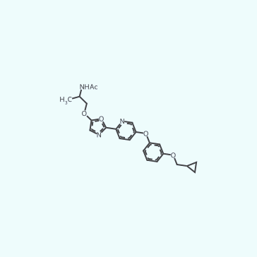 CC(=O)NC(C)COc1cnc(-c2ccc(Oc3cccc(OCC4CC4)c3)cn2)o1